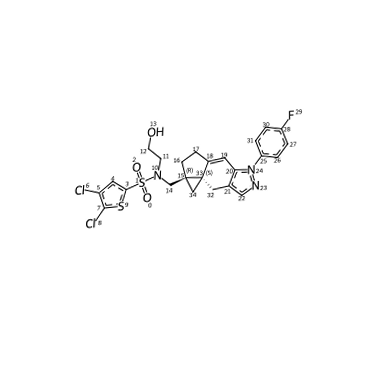 O=S(=O)(c1cc(Cl)c(Cl)s1)N(CCO)C[C@@]12CCC3=Cc4c(cnn4-c4ccc(F)cc4)C[C@@]31C2